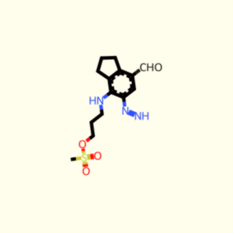 CS(=O)(=O)OCCCNc1c(N=N)cc(C=O)c2c1CCC2